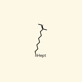 C/[C]=C(/C)CCCCCCCCCCCCCC